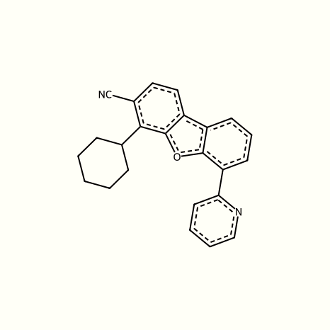 N#Cc1ccc2c(oc3c(-c4ccccn4)cccc32)c1C1CCCCC1